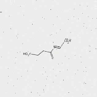 O=C(O)/C=N/C(=O)CCC(=O)O